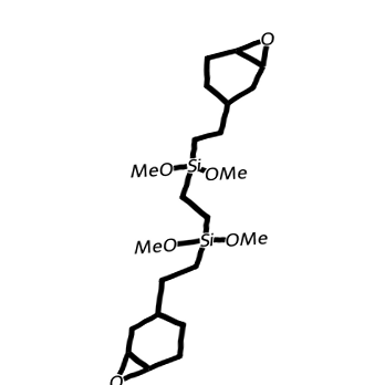 CO[Si](CCC1CCC2OC2C1)(CC[Si](CCC1CCC2OC2C1)(OC)OC)OC